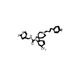 O=C(NCc1ccnc(F)c1)N1CC2(CCN(C/C=C/c3ccc(F)cc3)CC2)c2ccc(C(F)(F)F)cc21